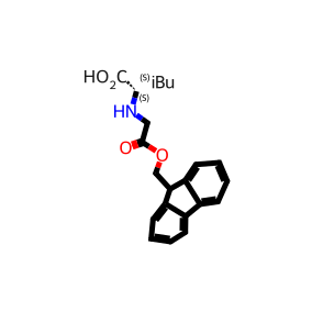 CC[C@H](C)[C@H](NCC(=O)OCC1c2ccccc2-c2ccccc21)C(=O)O